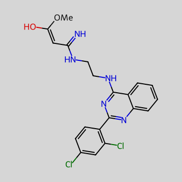 CO/C(O)=C\C(=N)NCCNc1nc(-c2ccc(Cl)cc2Cl)nc2ccccc12